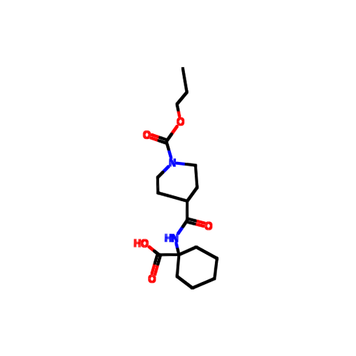 CCCOC(=O)N1CCC(C(=O)NC2(C(=O)O)CCCCC2)CC1